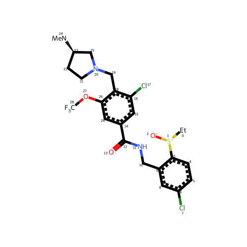 CC[S+]([O-])c1ccc(Cl)cc1CNC(=O)c1cc(Cl)c(CN2CC[C@@H](NC)C2)c(OC(F)(F)F)c1